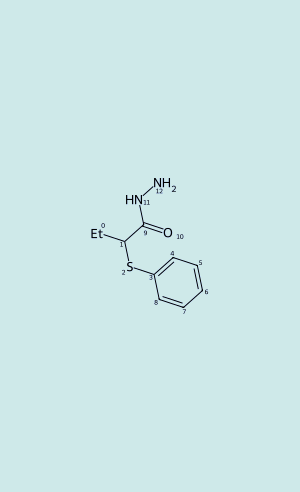 CCC(Sc1ccccc1)C(=O)NN